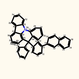 CSc1ccccc1C1(c2cccc(-c3ccc4ccccc4c3)c2)c2ccccc2-n2c3ccccc3c3cccc1c32